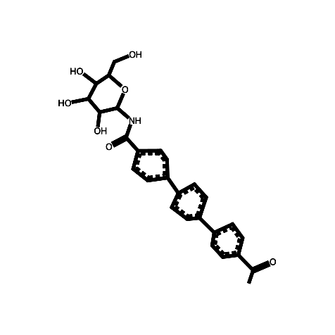 CC(=O)c1ccc(-c2ccc(-c3ccc(C(=O)NC4OC(CO)C(O)C(O)C4O)cc3)cc2)cc1